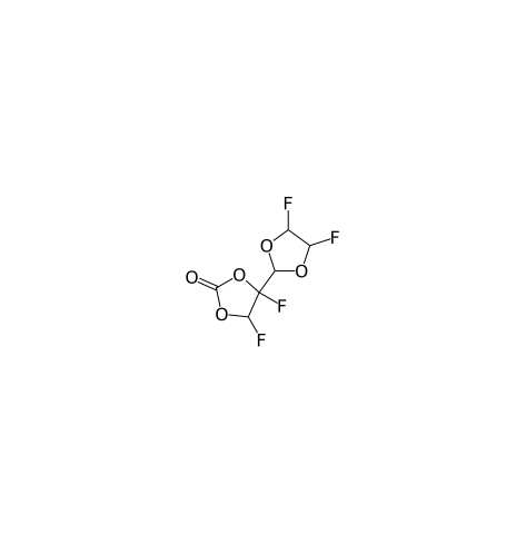 O=C1OC(F)C(F)(C2OC(F)C(F)O2)O1